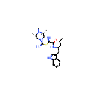 CCCC(Cc1c[nH]c2ccccc12)NC(=O)C(=N)SC(=N)N1C[C@@H](C)N(C)[C@@H](C)C1